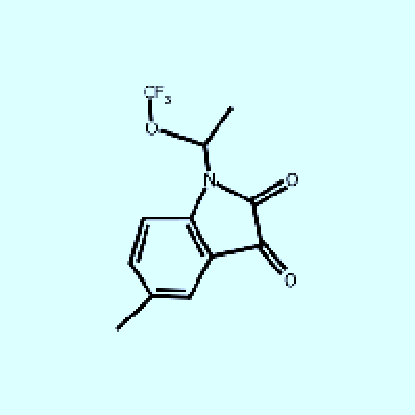 Cc1ccc2c(c1)C(=O)C(=O)N2C(C)OC(F)(F)F